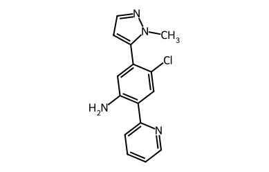 Cn1nccc1-c1cc(N)c(-c2ccccn2)cc1Cl